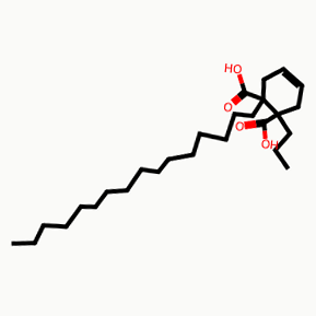 CCCCCCCCCCCCCCCCC1(C(=O)O)CC=CCC1(CCC)C(=O)O